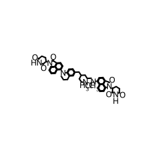 CN(CC1CC(Cc2ccc3c(c2)CCCN3c2ccc3c4c(cccc24)N(C2CCC(=O)NC2=O)C3=O)CCN1C)c1ccc2c3c(cccc13)N(C1CCC(=O)NC1=O)C2=O